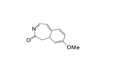 COC1=CC2CC(=O)N=CC=C2C=C1